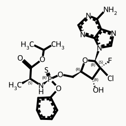 CC(C)OC(=O)[C@H](C)N[P@@](=S)(OC[C@H]1O[C@@H](n2cnc3c(N)ncnc32)[C@@](F)(Cl)[C@@H]1O)Oc1ccccc1